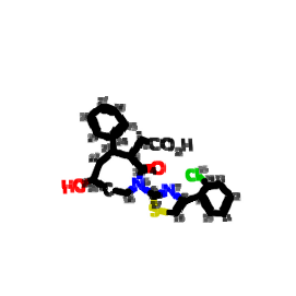 O=C(O)CC1C(=O)N(c2nc(-c3ccccc3Cl)cs2)CCC(O)CC1c1ccccc1